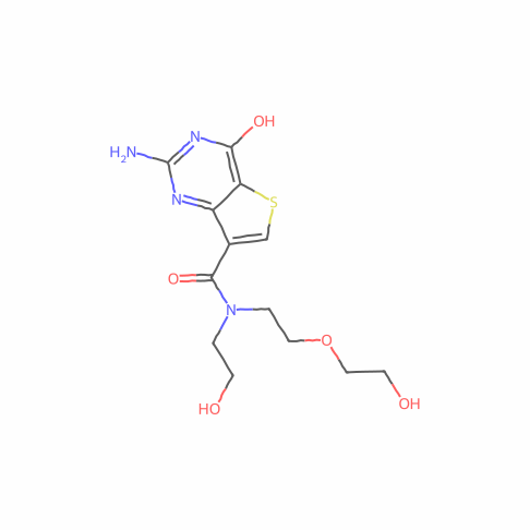 Nc1nc(O)c2scc(C(=O)N(CCO)CCOCCO)c2n1